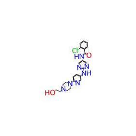 O=C(Nc1cnc(Nc2ccc(N3CCN(CCO)CC3)nc2)nc1)c1ccccc1Cl